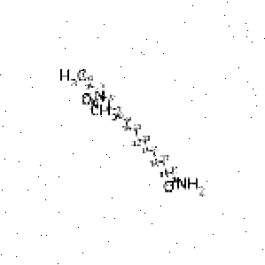 CCCCN(CCCCCCCCCCCCCCCC(N)=O)C(C)=O